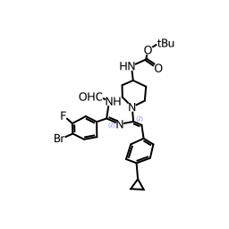 CC(C)(C)OC(=O)NC1CCN(C(=C/c2ccc(C3CC3)cc2)/N=C(\NC=O)c2ccc(Br)c(F)c2)CC1